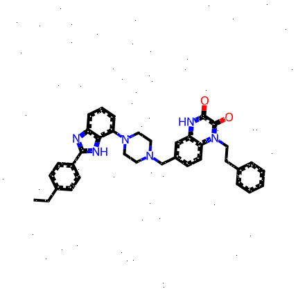 CCc1ccc(-c2nc3cccc(N4CCN(Cc5ccc6c(c5)[nH]c(=O)c(=O)n6CCc5ccccc5)CC4)c3[nH]2)cc1